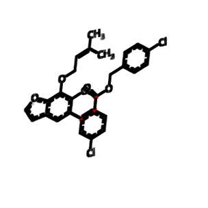 CC(C)=CCOc1c(OCc2ccc(Cl)cc2)c(/C=C\C(=O)OCc2ccc(Cl)cc2)cc2ccoc12